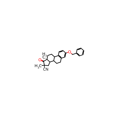 CC1(C#N)CC2C3CCc4cc(OCc5ccccc5)ccc4C3CC[C@]2(C)C1=O